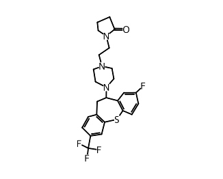 O=C1CCCN1CCN1CCN(C2Cc3ccc(C(F)(F)F)cc3Sc3ccc(F)cc32)CC1